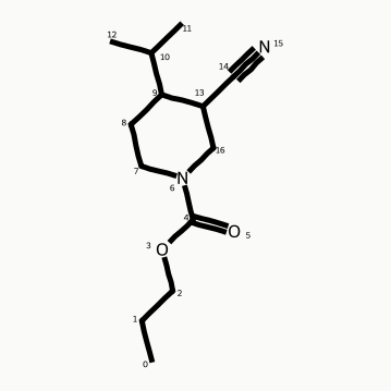 CCCOC(=O)N1CCC(C(C)C)C(C#N)C1